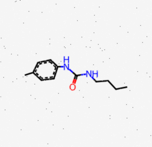 CCCCNC(=O)Nc1ccc(C)cc1